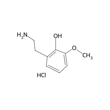 COc1cccc(CCN)c1O.Cl